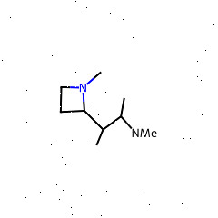 CNC(C)C(C)C1CCN1C